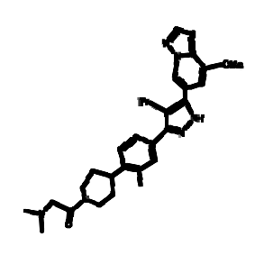 COc1cc(-c2[nH]nc(-c3ccc(C4CCN(C(=O)CN(C)C)CC4)c(C)c3)c2C(C)C)cn2ncnc12